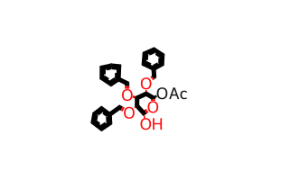 CC(=O)O[C@H]1O[C@H](O)[C@H](OCc2ccccc2)[C@@H](OCc2ccccc2)[C@@H]1OCc1ccccc1